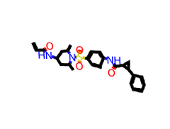 C=CC(=O)NC1CC(C)N(S(=O)(=O)c2ccc(NC(=O)C3CC3c3ccccc3)cc2)C(C)C1